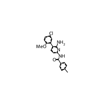 COc1ccc(Cl)cc1-c1ccc(NC(=O)c2ccc(C)cc2)nc1N